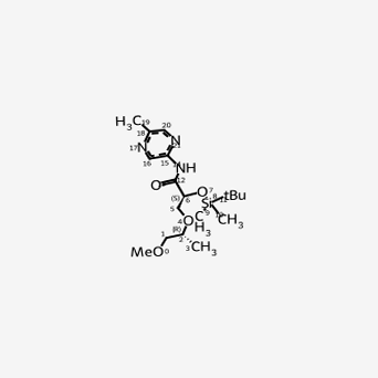 COC[C@@H](C)OC[C@H](O[Si](C)(C)C(C)(C)C)C(=O)Nc1cnc(C)cn1